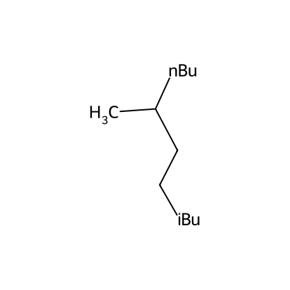 [CH2]CCCC(C)CCC(C)CC